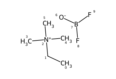 CC[N+](C)(C)C.[O-]B(F)F